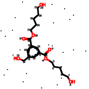 O=C(OCCCCCO)c1cc(CO)cc(C(=O)OCCCCCO)c1